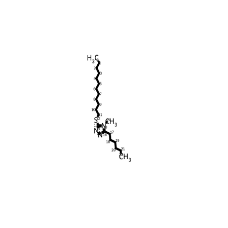 CCCCCCCCCCCCSc1nnc(CCCCCC)n1C